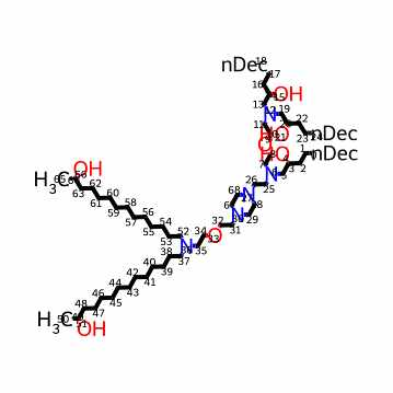 CCCCCCCCCCCCC(O)CN(CCOCCN(CC(O)CCCCCCCCCCCC)CC(O)CCCCCCCCCCCC)CCN1CCN(CCOCCN(CCCCCCCCCCCCC(C)O)CCCCCCCCCCCC[C@@H](C)O)CC1